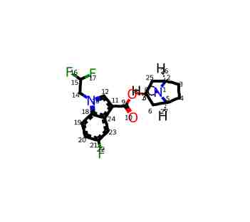 CN1[C@@H]2CC[C@H]1C[C@@H](OC(=O)c1cn(CC(F)F)c3ccc(F)cc13)C2